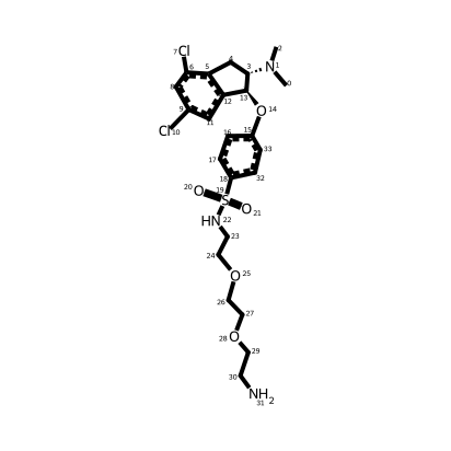 CN(C)[C@H]1Cc2c(Cl)cc(Cl)cc2[C@@H]1Oc1ccc(S(=O)(=O)NCCOCCOCCN)cc1